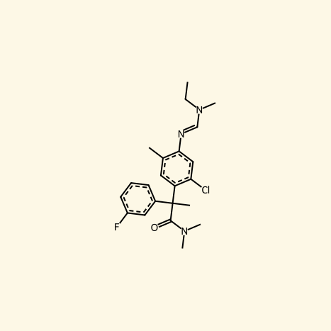 CCN(C)C=Nc1cc(Cl)c(C(C)(C(=O)N(C)C)c2cccc(F)c2)cc1C